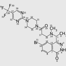 CC(c1n[nH]c(=O)c2ccc(Br)cc12)N(C)CCC(=O)N1CCN(c2ncc(C(F)(F)F)cn2)CC1